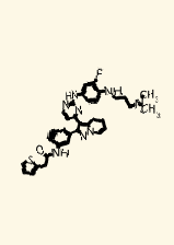 CN(C)CCCNc1ccc(Nc2nccc(-c3c(-c4cccc(NC(=O)Cc5cccs5)c4)nn4ccccc34)n2)cc1F